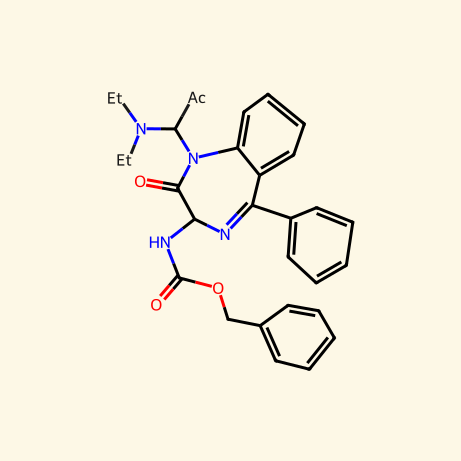 CCN(CC)C(C(C)=O)N1C(=O)C(NC(=O)OCc2ccccc2)N=C(c2ccccc2)c2ccccc21